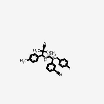 Cc1ccc(C(N[C@@H](C)[C@@H](Cc2ccc(I)cc2)c2cccc(C#N)c2)C(C)(C)C#N)cc1